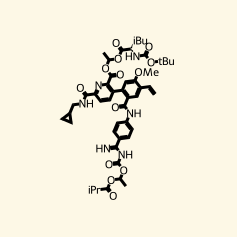 C=Cc1cc(C(=O)Nc2ccc(C(=N)NC(=O)OC(C)OC(=O)C(C)C)cc2)c(-c2ccc(C(=O)NCC3CC3)nc2C(=O)OC(C)OC(=O)[C@@H](NC(=O)OC(C)(C)C)[C@@H](C)CC)cc1OC